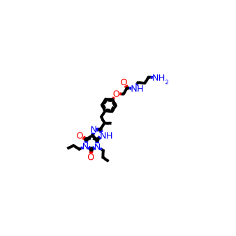 CCCn1c(=O)c2nc(C(C)Cc3ccc(OCC(=O)NCCCN)cc3)[nH]c2n(CCC)c1=O